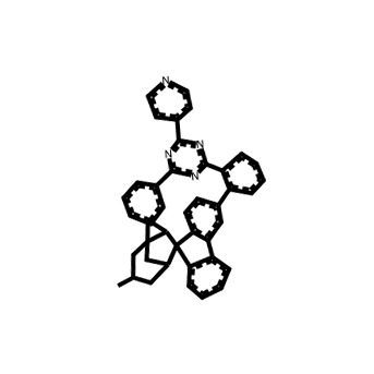 CC1CC2CC3(C1)CC3C21c2ccccc2-c2cc(-c3ccccc3-c3nc(-c4ccccc4)nc(-c4ccncc4)n3)ccc21